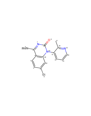 CCc1ccc2c(NC)nc(=O)n(-c3cccnc3C)c2c1